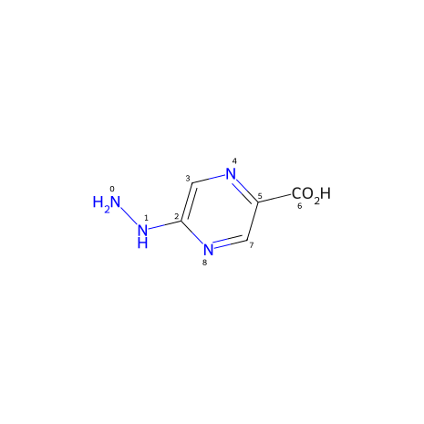 NNc1cnc(C(=O)O)cn1